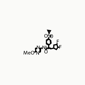 COc1cnc(NC(=O)/C(=C/C2CC(F)C(F)C2)c2ccc(S(=O)(=O)C3CC3)cc2)cn1